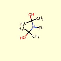 CCN(C(C)(C)O)C(C)(C)O